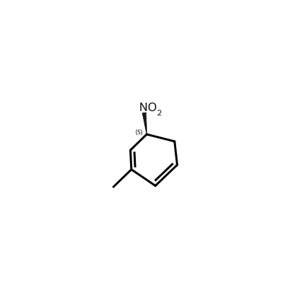 CC1=C[C@@H]([N+](=O)[O-])CC=C1